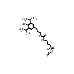 CC(C)c1cc(CCCNC(=O)NCCCS(=O)(=O)N=[N+]=[N-])cc(C(C)C)c1O